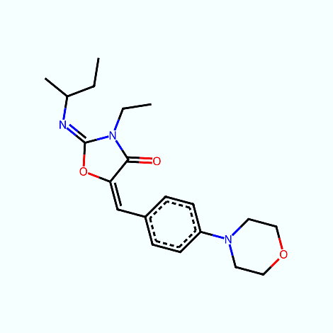 CCC(C)/N=C1/O/C(=C/c2ccc(N3CCOCC3)cc2)C(=O)N1CC